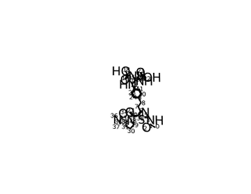 CC(=O)Nc1nc(CCc2ccc(NC(NC(=O)O)NC(=O)O)cc2)c(C(=O)N2CCC[C@@H]2C(=O)N(C)C)s1